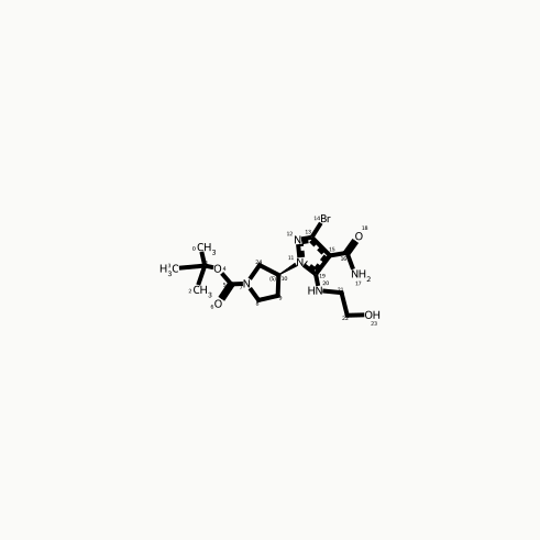 CC(C)(C)OC(=O)N1CC[C@H](n2nc(Br)c(C(N)=O)c2NCCO)C1